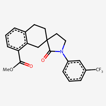 COC(=O)c1cccc2c1CC1(CC2)CCN(c2cccc(C(F)(F)F)c2)C1=O